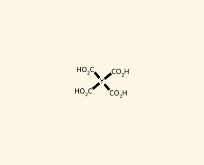 O=[C](O)[Y]([C](=O)O)([C](=O)O)[C](=O)O